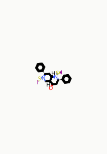 O=C1C[C@@H](c2ccccc2)N(SI)[C@H]2C[C@@H](c3ccccc3)N(SI)C[C@@H]12